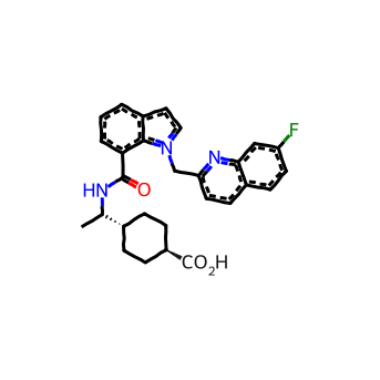 CC(NC(=O)c1cccc2ccn(Cc3ccc4ccc(F)cc4n3)c12)[C@H]1CC[C@H](C(=O)O)CC1